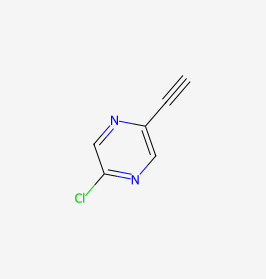 C#Cc1cnc(Cl)cn1